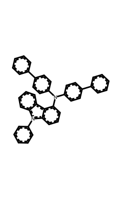 c1ccc(-c2ccc(N(c3ccc(-c4ccccc4)cc3)c3cccc4c3c3ccccc3n4-c3ccccc3)cc2)cc1